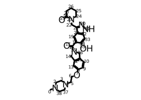 CN1CCN(CCOc2ccc3c(c2)CN(C(=O)c2cc4c(CN5CCCCC5=O)n[nH]c4cc2O)C3)CC1